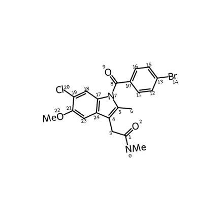 CNC(=O)Cc1c(C)n(C(=O)c2ccc(Br)cc2)c2cc(Cl)c(OC)cc12